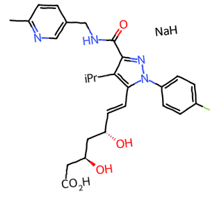 Cc1ccc(CNC(=O)c2nn(-c3ccc(F)cc3)c(C=C[C@H](O)C[C@@H](O)CC(=O)O)c2C(C)C)cn1.[NaH]